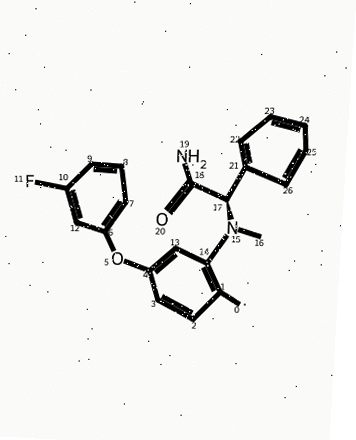 [CH2]c1ccc(Oc2cccc(F)c2)cc1N(C)[C@@H](C(N)=O)c1ccccc1